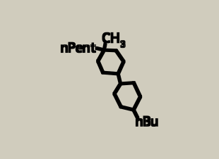 CCCCCC1(C)CCC(C2CCC(CCCC)CC2)CC1